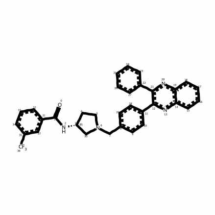 O=C(N[C@@H]1CCN(Cc2ccc(-c3nc4ccccc4nc3-c3ccccc3)cc2)C1)c1cccc(C(F)(F)F)c1